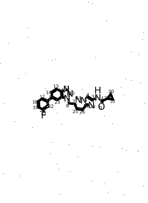 O=C(Nc1cn2nc(Cn3nnc4ccc(-c5cccc(F)c5)cc43)ccc2n1)C1CC1